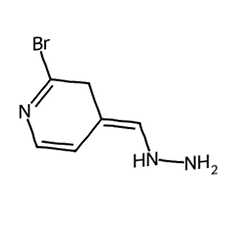 NNC=C1C=CN=C(Br)C1